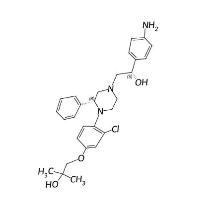 CC(C)(O)COc1ccc(N2CCN(C[C@@H](O)c3ccc(N)cc3)C[C@H]2c2ccccc2)c(Cl)c1